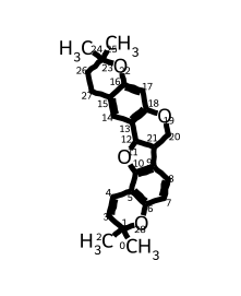 CC1(C)C=Cc2c(ccc3c2OC2c4cc5c(cc4OCC32)OC(C)(C)CC5)O1